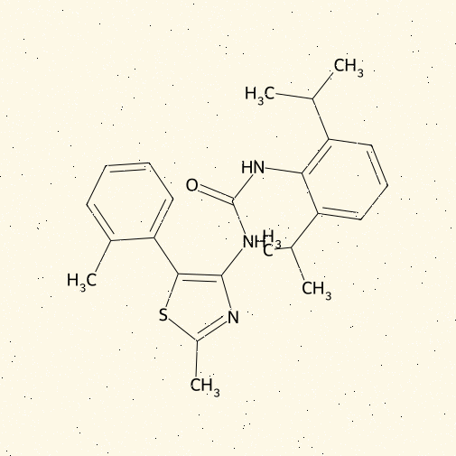 Cc1nc(NC(=O)Nc2c(C(C)C)cccc2C(C)C)c(-c2ccccc2C)s1